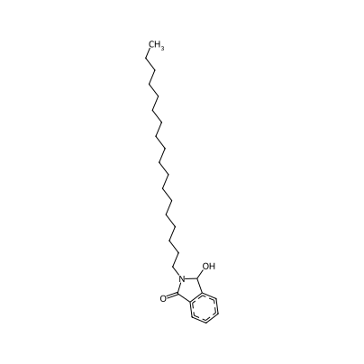 CCCCCCCCCCCCCCCCCCN1C(=O)c2ccccc2C1O